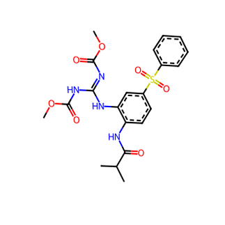 COC(=O)N=C(NC(=O)OC)Nc1cc(S(=O)(=O)c2ccccc2)ccc1NC(=O)C(C)C